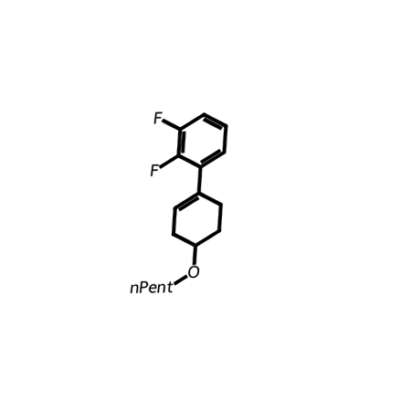 CCCCCOC1CC=C(c2cccc(F)c2F)CC1